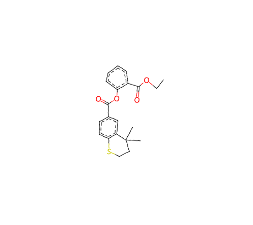 CCOC(=O)c1ccccc1OC(=O)c1ccc2c(c1)C(C)(C)CCS2